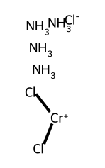 N.N.N.N.[Cl-].[Cl][Cr+][Cl]